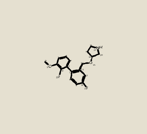 COc1cccc(-c2ccc(F)cc2CO[C@H]2CCNC2)c1F